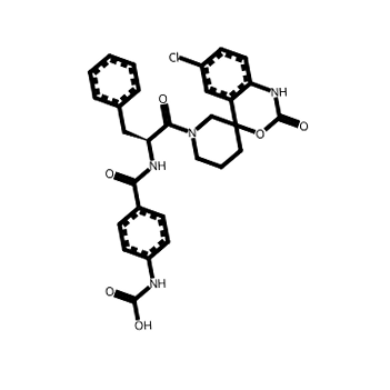 O=C(O)Nc1ccc(C(=O)N[C@@H](Cc2ccccc2)C(=O)N2CCCC3(C2)OC(=O)Nc2ccc(Cl)cc23)cc1